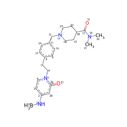 BNc1ccn(CCc2ccc(CN3CCC(C(=O)N(C)C)CC3)cc2)c(=O)c1